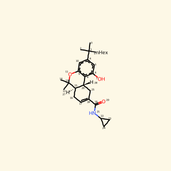 CCCCCCC(C)(C)c1cc(O)c2c(c1)OC(C)(C)[C@@H]1CC=C(C(=O)NC3CC3)C[C@@H]21